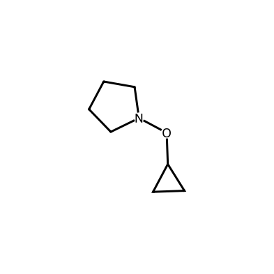 C1CCN(OC2CC2)C1